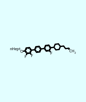 C=CCCC1CCC(c2ccc(-c3ccc(-c4ccc(OCCCCCCC)c(F)c4F)cc3)cc2F)CC1